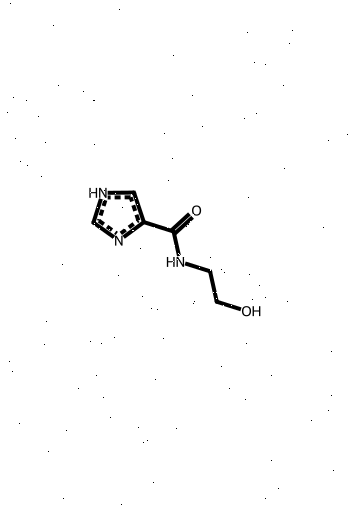 O=C(NCCO)c1c[nH]cn1